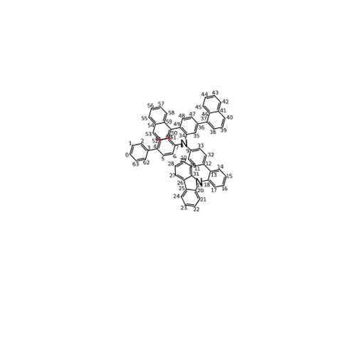 c1ccc(-c2ccc(N(c3ccc(-c4ccccc4-n4c5ccccc5c5ccccc54)cc3)c3cc(-c4cccc5ccccc45)ccc3-c3cccc4ccccc34)cc2)cc1